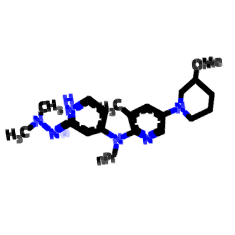 CCCN(c1cc[nH]/c(=N\N(C)C)c1)c1ncc(N2CCCC(OC)C2)cc1C